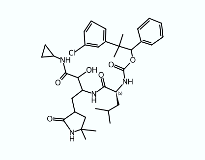 CC(C)C[C@H](NC(=O)OC(c1ccccc1)C(C)(C)c1cccc(Cl)c1)C(=O)NC(CC1CC(C)(C)NC1=O)C(O)C(=O)NC1CC1